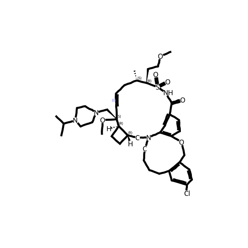 COCC[C@@H]1[C@@H](C)C/C=C/[C@@](CN2CCN(C(C)C)CC2)(OC)[C@@H]2CC[C@H]2CN2CCCCc3cc(Cl)ccc3COc3ccc(cc32)C(=O)NS1(=O)=O